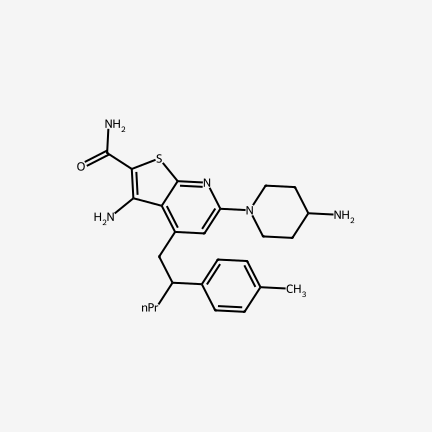 CCCC(Cc1cc(N2CCC(N)CC2)nc2sc(C(N)=O)c(N)c12)c1ccc(C)cc1